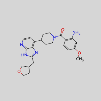 COc1ccc(C(=O)N2CCC(c3ccnc4[nH]c(CC5CCOC5)nc34)CC2)c(N)c1